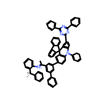 C/C(=N\c1ccccc1[C@@H](C)c1ccccc1)c1cc(-c2ccccc2)cc(-c2ccc3c(c2)C2(c4ccccc4-c4ccccc42)c2cc(-c4nc(-c5ccccc5)nc(-c5ccccc5)n4)ccc2N3C2=CC=CCC2)c1